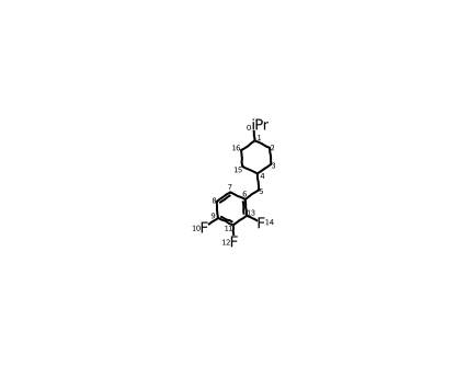 CC(C)C1CCC(Cc2ccc(F)c(F)c2F)CC1